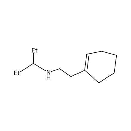 CCC(CC)NCCC1=CCCCC1